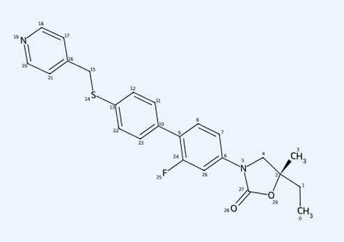 CC[C@@]1(C)CN(c2ccc(-c3ccc(SCc4ccncc4)cc3)c(F)c2)C(=O)O1